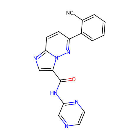 N#Cc1ccccc1-c1ccc2ncc(C(=O)Nc3cnccn3)n2n1